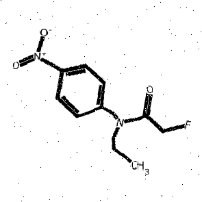 CCN(C(=O)CF)c1ccc([N+](=O)[O-])cc1